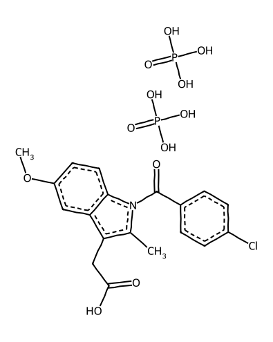 COc1ccc2c(c1)c(CC(=O)O)c(C)n2C(=O)c1ccc(Cl)cc1.O=P(O)(O)O.O=P(O)(O)O